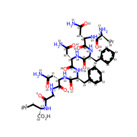 CC(C)C[C@H](NC(=O)CNC(=O)[C@H](CC(N)=O)NC(=O)[C@H](Cc1ccccc1)NC(=O)[C@H](CC(N)=O)NC(=O)[C@H](Cc1ccccc1)NC(=O)[C@H](CC(N)=O)NC(=O)[C@@H](N)C(C)C)C(=O)O